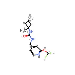 CC1(NC(=O)NCc2ccnc(OC(F)F)c2)CC(C(F)(F)F)C1